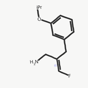 CC(C)Oc1cccc(C/C(=C\F)CN)c1